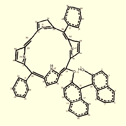 Oc1ccc2ccccc2c1-c1c(O/C2=c3\cc/c([nH]3)=C(\c3ccccc3)C3=N/C(=C\C4=CCC(=N4)/C(c4ccccc4)=C4/C=CC2=N4)C=C3)ccc2ccccc12